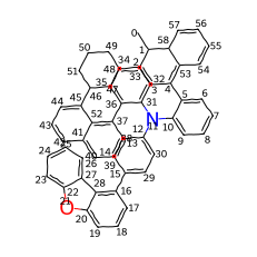 CC1C=CC(c2ccccc2N(c2ccc(-c3cccc4oc5ccccc5c34)cc2)c2ccccc2-c2cccc3cccc(C4CCCCC4)c23)=C2C=CC=CC21